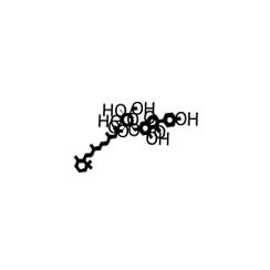 CC1=C(/C=C/C(C)=C/C=C/C(C)=C/C(=O)O[C@H]2[C@H](Oc3cc(O)c4c(=O)c(-c5ccc(O)cc5)coc4c3)O[C@H](CO)[C@@H](O)[C@@H]2O)C(C)(C)CCC1